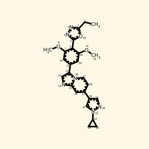 CCc1nnc(-c2c(OC)cc(-c3cnc4cc(-c5cnn(C6CC6)c5)ccn34)cc2OC)o1